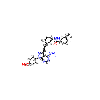 Cc1ccc(NC(=O)c2cccc(C(F)(F)F)c2)cc1C#Cc1nn([C@H]2CC[C@H](O)CC2)c2ncnc(N)c12